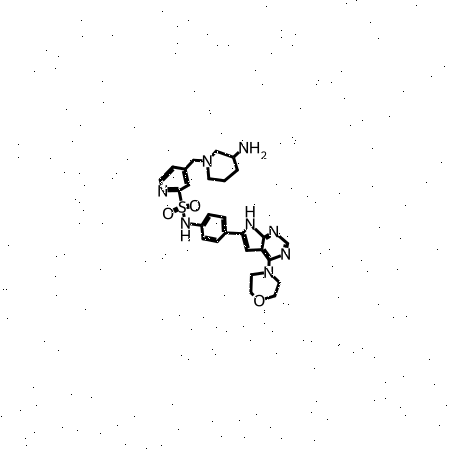 NC1CCCN(Cc2ccnc(S(=O)(=O)Nc3ccc(-c4cc5c(N6CCOCC6)ncnc5[nH]4)cc3)c2)C1